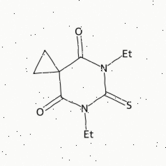 CCN1C(=O)C2(CC2)C(=O)N(CC)C1=S